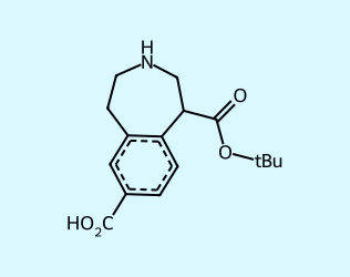 CC(C)(C)OC(=O)C1CNCCc2cc(C(=O)O)ccc21